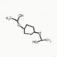 CC(O)OC1CCC(OC(C)O)CC1